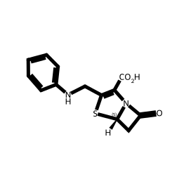 O=C(O)C1=C(CNc2ccccc2)S[C@H]2CC(=O)N12